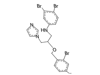 Brc1ccc(COC(CNc2ccc(Br)c(Br)c2)Cn2ccnc2)c(Br)c1